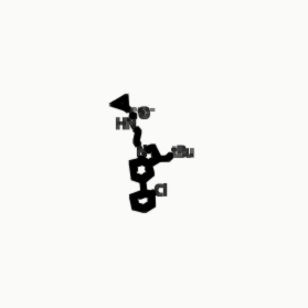 CC(C)(C)Cc1cn(CCN[S+]([O-])C2CC2)c2ccc(-c3ccccc3Cl)cc12